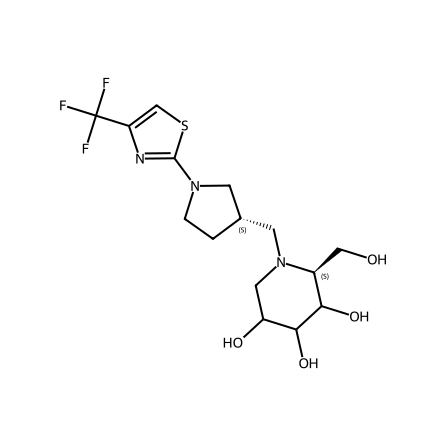 OC[C@H]1C(O)C(O)C(O)CN1C[C@@H]1CCN(c2nc(C(F)(F)F)cs2)C1